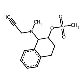 C#CCN(C)C1c2ccccc2CCC1OS(C)(=O)=O